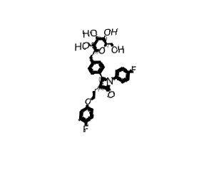 O=C1[C@H](CCOc2ccc(F)cc2)[C@@H](c2ccc(C[C@@H]3O[C@H](CO)[C@@H](O)[C@H](O)[C@H]3O)cc2)N1c1ccc(F)cc1